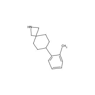 Cc1ccccc1C1CCC2(CC1)CNC2